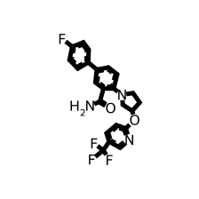 NC(=O)c1cc(-c2ccc(F)cc2)ccc1N1CCC(Oc2ccc(C(F)(F)F)cn2)C1